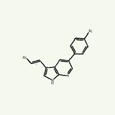 CC(=O)/C=C/c1c[nH]c2ncc(-c3ccc(C(C)=O)cc3)cc12